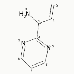 C=C[C](N)c1ncccn1